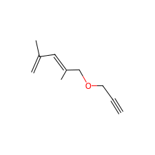 C#CCOC/C(C)=C/C(=C)C